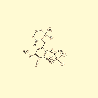 COc1cc(CC2C(=O)CCCC2(C)C)c(O[Si](C)(C)C(C)(C)C)cc1Br